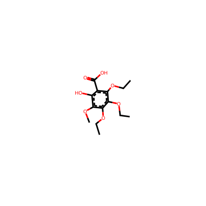 CCOc1c(OC)c(O)c(C(=O)O)c(OCC)c1OCC